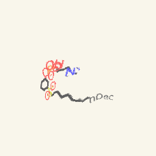 CCCCCCCCCCCCCCCCCCS(=O)(=O)C1CCCC(OP(=O)(O)OCC[N+](C)(C)C)C1